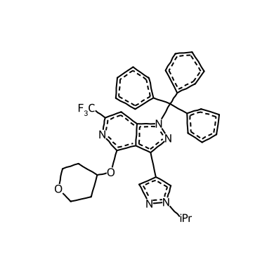 CC(C)n1cc(-c2nn(C(c3ccccc3)(c3ccccc3)c3ccccc3)c3cc(C(F)(F)F)nc(OC4CCOCC4)c23)cn1